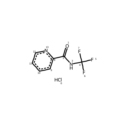 Cl.O=C(NC(F)(F)F)c1ccccn1